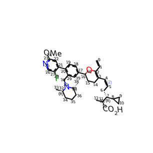 C=CC1=C(/C=C\C[C@H](C2CC2)[C@H](C)C(=O)O)CCC(c2ccc(-c3cc(OC)ncc3F)c(CN3[C@H](C)CCC[C@H]3C)c2)O1